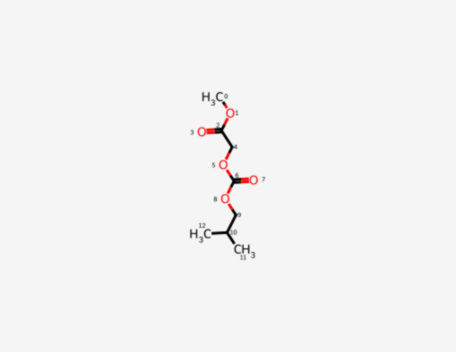 COC(=O)COC(=O)OCC(C)C